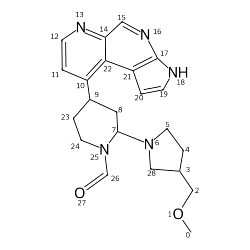 COCC1CCN(C2CC(c3ccnc4cnc5[nH]ccc5c34)CCN2C=O)C1